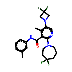 Cc1cccc(NC(=O)c2c(N3CCCC(F)(F)CC3)ncc(N3CC(F)(F)C3)c2C)c1